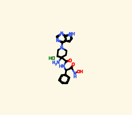 Cl.NC1(C(=O)NC(C(=O)NO)c2ccccc2)CCN(c2ncnc3[nH]ccc23)CC1